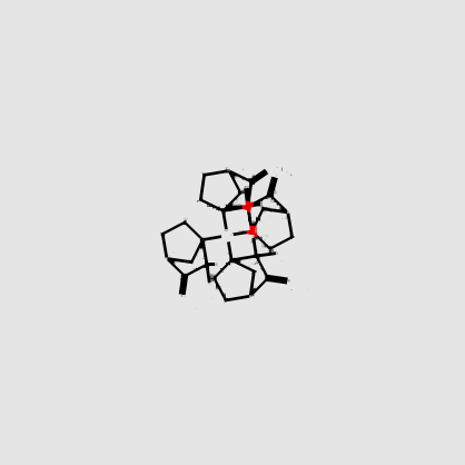 C=C1C2CC[C]([Ti]([C]34CCC(C3)C(=C)C4(C)C)([C]34CCC(C3)C(=C)C4(C)C)[C]34CCC(C3)C(=C)C4(C)C)(C2)C1(C)C